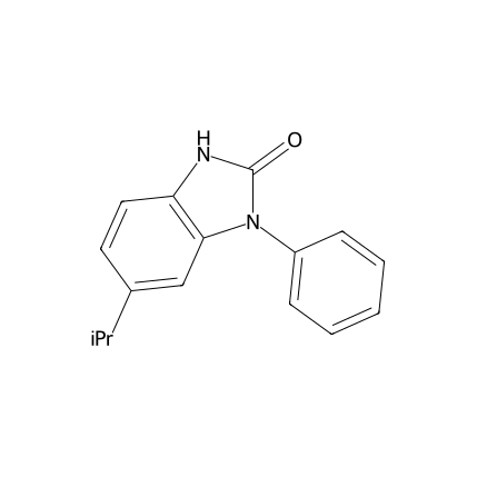 CC(C)c1ccc2[nH]c(=O)n(-c3ccccc3)c2c1